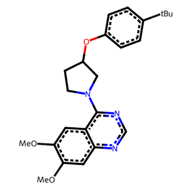 COc1cc2ncnc(N3CCC(Oc4ccc(C(C)(C)C)cc4)C3)c2cc1OC